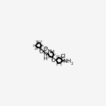 Nc1ccc(Oc2ccnc(NC(=O)Oc3ccccc3)c2)cc1Cl